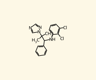 CC(C)(C(Nc1cccc(Cl)c1Cl)c1ccccc1)n1cncn1